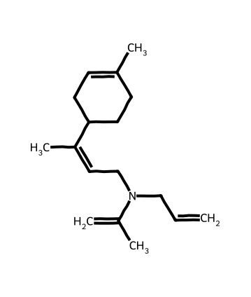 C=CCN(C/C=C(/C)C1CC=C(C)CC1)C(=C)C